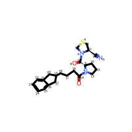 N#C[C@@H]1CSCN1C(=O)[C@@H]1CCCN1C(=O)CCCC1Cc2ccccc2C1